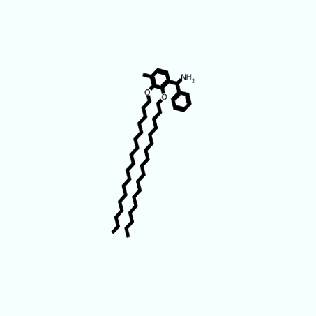 CCCCCCCCCCCCCCCCCCOc1c(C)ccc(C(N)c2ccccc2)c1OCCCCCCCCCCCCCCCCCC